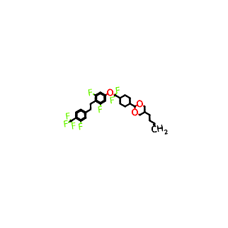 C=CCCC1COC(C2CCC(C(F)(F)Oc3cc(F)c(CCc4ccc(C(F)(F)F)c(F)c4)c(F)c3)CC2)OC1